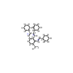 CC(C)c1ccc(/C=C/c2ccccc2)c(/C=C/c2ccccc2)c1/C=C/c1ccccc1